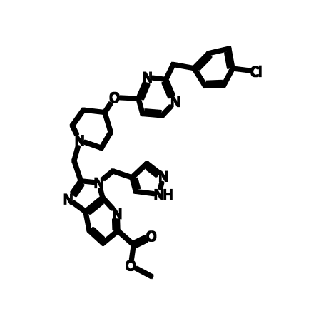 COC(=O)c1ccc2nc(CN3CCC(Oc4ccnc(Cc5ccc(Cl)cc5)n4)CC3)n(Cc3cn[nH]c3)c2n1